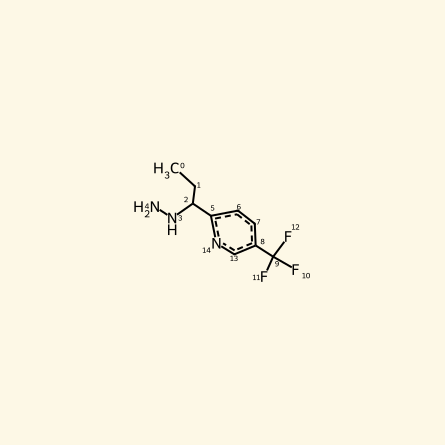 CCC(NN)c1ccc(C(F)(F)F)cn1